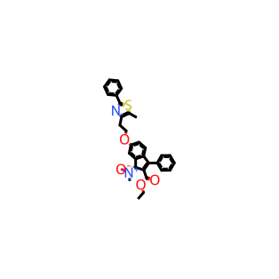 CCOC(=O)C1=C(c2ccccc2)c2ccc(OCCc3nc(-c4ccccc4)sc3C)cc2/C1=[N+](/C)[O-]